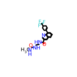 CNC(=O)NCCNC(=O)c1cnc2c(C3=CCC(C(F)(F)F)CC3)cccc2c1